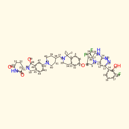 CC1(C)c2ccc(O[C@H]3CN4c5cc(-c6cccc(F)c6O)nnc5NC[C@@]4(C(F)F)C3)cc2CCN1CC1CCN(c2ccc3c(c2)C(=O)N([C@H]2CCC(=O)NC2=O)C3)CC1